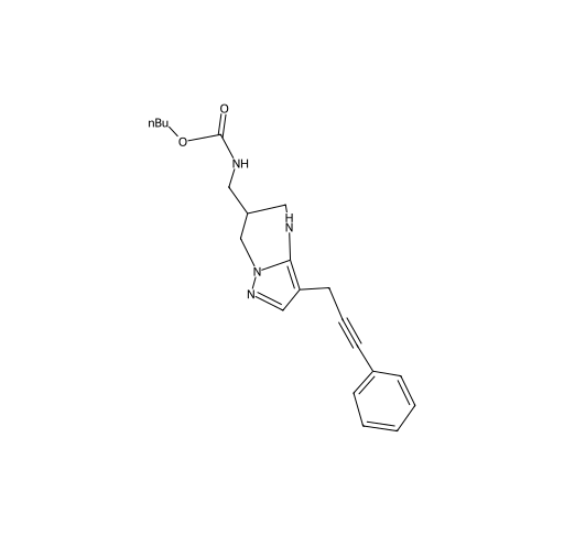 CCCCOC(=O)NCC1CNc2c(CC#Cc3ccccc3)cnn2C1